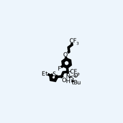 CCc1ccc(C(=O)C[C@](N[S+]([O-])C(C)(C)C)(c2ccc(OCCCC(F)(F)F)cc2F)C(F)(F)F)s1